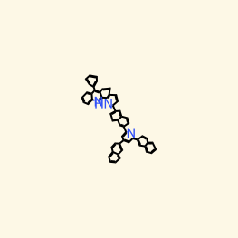 C1=CC(c2ccc3cc(-c4cc(-c5ccc6ccccc6c5)cc(-c5ccc6ccccc6c5)n4)ccc3c2)Nc2c1ccc1c(-c3ccccc3)c3ccccc3nc21